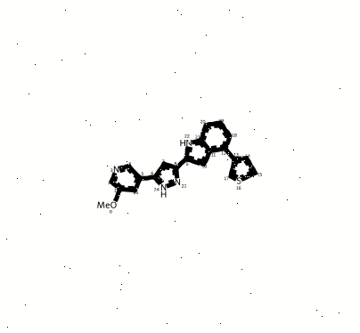 COc1cncc(-c2cc(-c3cc4c(-c5ccsc5)cccc4[nH]3)n[nH]2)c1